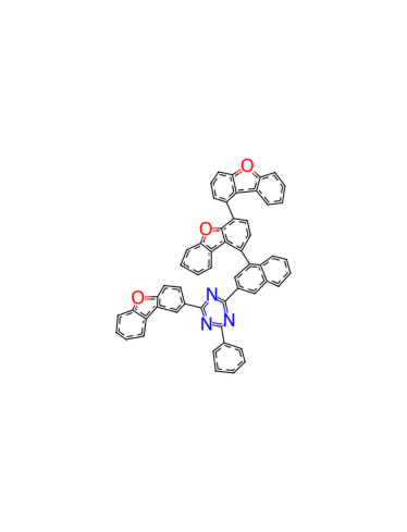 c1ccc(-c2nc(-c3cc(-c4ccc(-c5cccc6oc7ccccc7c56)c5oc6ccccc6c45)c4ccccc4c3)nc(-c3ccc4oc5ccccc5c4c3)n2)cc1